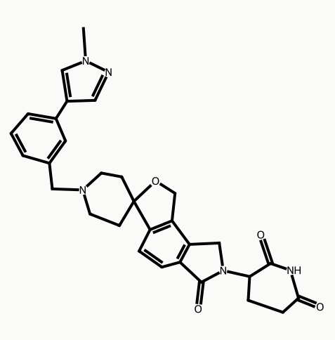 Cn1cc(-c2cccc(CN3CCC4(CC3)OCc3c4ccc4c3CN(C3CCC(=O)NC3=O)C4=O)c2)cn1